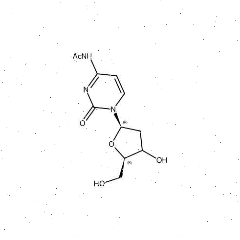 CC(=O)Nc1ccn([C@H]2CC(O)[C@@H](CO)O2)c(=O)n1